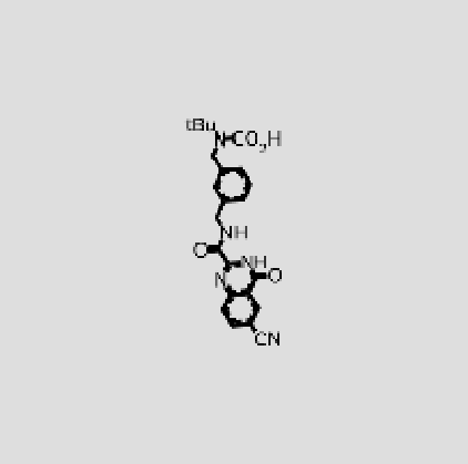 CC(C)(C)N(Cc1cccc(CNC(=O)c2nc3ccc(C#N)cc3c(=O)[nH]2)c1)C(=O)O